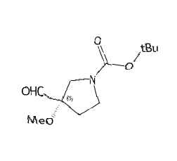 CO[C@@]1(C=O)CCN(C(=O)OC(C)(C)C)C1